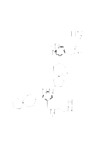 CNCCN(C)Cc1c[nH]nc1[C@H]1CCC2(CCC(n3cc(CN(C)CCNC)c([C@@H]4CCC5(CCCC5)OC4)n3)C2)OC1